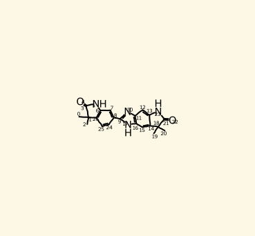 CC1(C)C(=O)Nc2cc(-c3nc4cc5c(cc4[nH]3)C(C)(C)C(=O)N5)ccc21